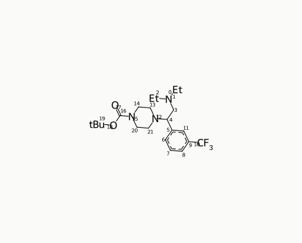 CCN(CC)CC(c1cccc(C(F)(F)F)c1)N1CCN(C(=O)OC(C)(C)C)CC1